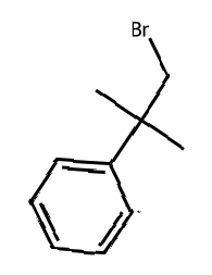 CC(C)(CBr)c1[c]cccc1